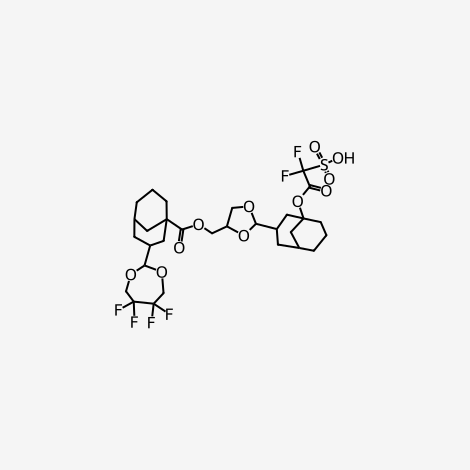 O=C(OCC1COC(C2CC3CCCC(OC(=O)C(F)(F)S(=O)(=O)O)(C3)C2)O1)C12CCCC(CC(C3OCC(F)(F)C(F)(F)CO3)C1)C2